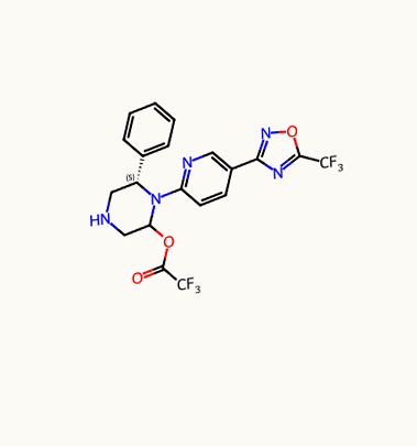 O=C(OC1CNC[C@H](c2ccccc2)N1c1ccc(-c2noc(C(F)(F)F)n2)cn1)C(F)(F)F